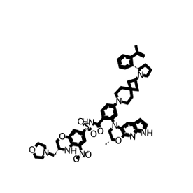 C=C(C)c1ccccc1[C@@H]1CCCN1C1CC2(CCN(c3ccc(C(=O)NS(=O)(=O)c4cc5c(c([N+](=O)[O-])c4)N[C@H](CN4CCOCC4)CO5)c(N4C[C@@H](C)Oc5nc6[nH]ccc6cc54)c3)CC2)C1